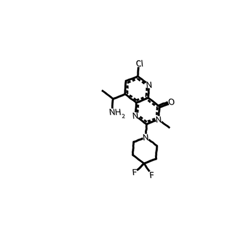 CC(N)c1cc(Cl)nc2c(=O)n(C)c(N3CCC(F)(F)CC3)nc12